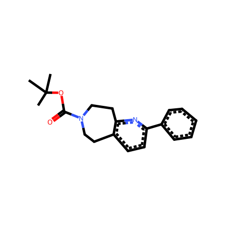 CC(C)(C)OC(=O)N1CCc2ccc(-c3ccccc3)nc2CC1